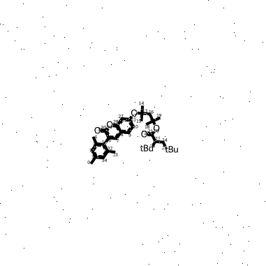 Cc1cc(C)c(-c2cc3ccc(OC(C)(C)CC(C)(C)OC(=O)C(CC(C)(C)C)C(C)(C)C)cc3oc2=O)c(C)c1